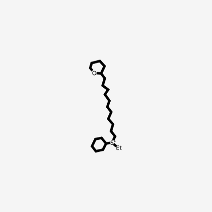 CC[S+](CCCCCCCCCCCC1CCCCO1)C1CCCCC1